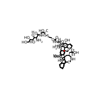 CCC(O)(CC)C[C@H]1CNCCc2c([nH]c3ccccc23)[C@@](C(=O)OC)(c2cc3c(cc2OC)N(C)[C@@H]2[C@]34CCN3CC=CC([C@H]34)[C@@H](O)[C@]2(O)C(O)NNC(=O)OCCSSC[C@@H](NC(=O)C(N)C(O)[C@H](O)[C@H](O)CO)C(=O)O)C1